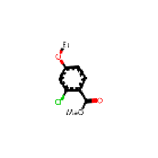 CCOc1ccc(C(=O)OC)c(Cl)c1